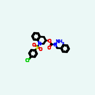 NN(Cc1ccccc1)C(=O)OC1Cc2ccccc2N(S(=O)(=O)c2ccc(Cl)cc2)C1